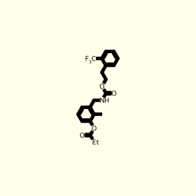 CCC(=O)Oc1cccc(CNC(=O)OCCc2ccccc2C(F)(F)F)c1C